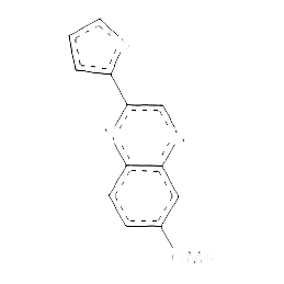 COc1ccc2nc(-c3cccs3)[c]nc2c1